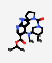 CC(C)OC(=O)c1cnc2[nH]ccc2c1N(C)[C@H]1CN(C(=O)N2CCCC2)CC[C@H]1C